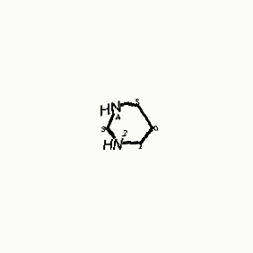 [CH]1CNCNC1